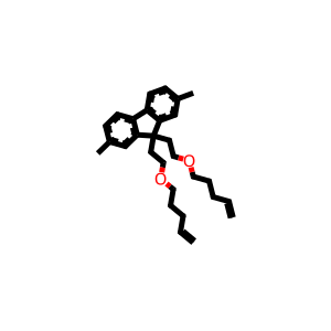 C=CCCCOCCC1(CCOCCCC=C)c2cc(C)ccc2-c2ccc(C)cc21